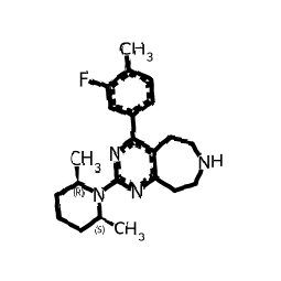 Cc1ccc(-c2nc(N3[C@H](C)CCC[C@@H]3C)nc3c2CCNCC3)cc1F